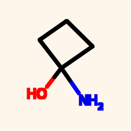 NC1(O)CCC1